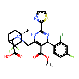 COC(=O)C1=C(CN2C(C(=O)O)C3CC[C@H]2CC3(F)F)NC(c2nccs2)=N[C@H]1c1ccc(F)cc1Cl